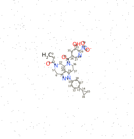 C=CC(=O)N1CCc2nn(-c3ccc(C4CC4)cc3)c3c2C(C1)N(C(=O)c1cnc([N+](=O)[O-])c(O)c1)CC3